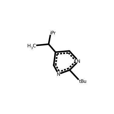 CC(C)C(C)c1cnc(C(C)(C)C)nc1